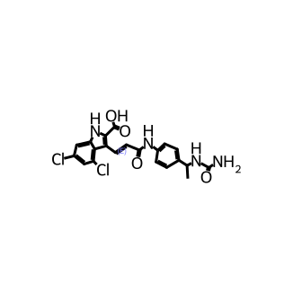 CC(NC(N)=O)c1ccc(NC(=O)/C=C/c2c(C(=O)O)[nH]c3cc(Cl)cc(Cl)c23)cc1